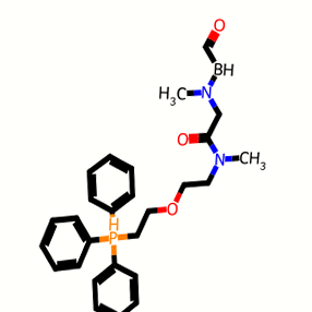 CN(BC=O)CC(=O)N(C)CCOCC[PH](c1ccccc1)(c1ccccc1)c1ccccc1